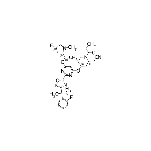 C=CC(=O)N1CC[C@H](Oc2cc(O[C@@H](C)[C@@H]3C[C@H](F)CN3C)nc(-c3nc(C(C)(C)c4ccccc4F)no3)n2)C[C@H]1CC#N